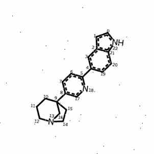 c1cc2cc(-c3ccc(C45CCCN(CC4)C5)cn3)ccc2[nH]1